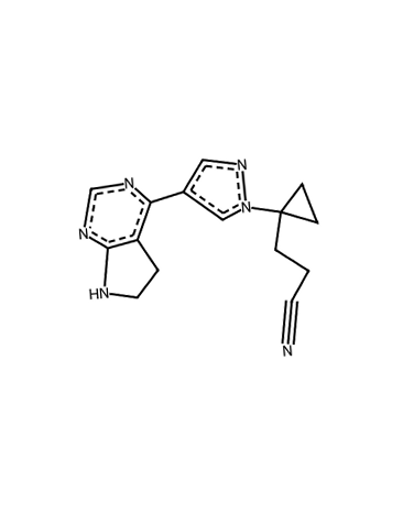 N#CCCC1(n2cc(-c3ncnc4c3CCN4)cn2)CC1